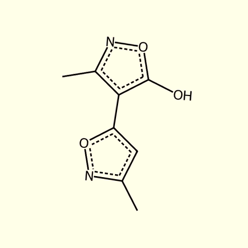 Cc1cc(-c2c(C)noc2O)on1